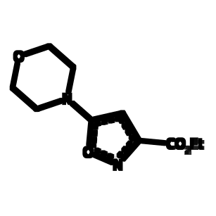 CCOC(=O)c1cc(N2CCOCC2)on1